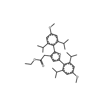 CCOC(=O)Cc1cc(-c2c(C(C)C)cc(OC)cc2C(C)C)sc1-c1c(C(C)C)cc(OC)cc1C(C)C